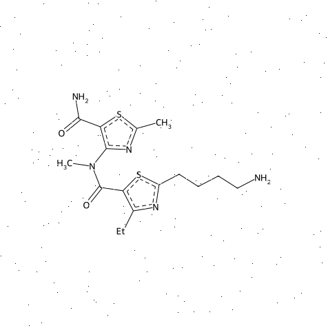 CCc1nc(CCCCN)sc1C(=O)N(C)c1nc(C)sc1C(N)=O